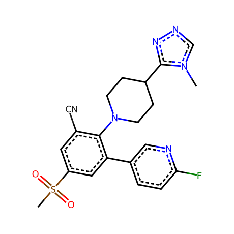 Cn1cnnc1C1CCN(c2c(C#N)cc(S(C)(=O)=O)cc2-c2ccc(F)nc2)CC1